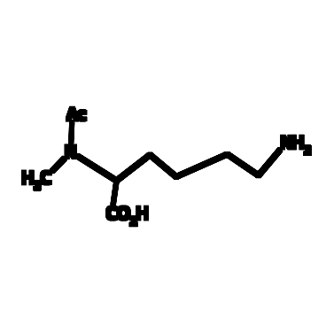 CC(=O)N(C)C(CCCCN)C(=O)O